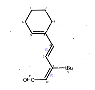 CC(C)(C)C(/C=C/C1=CCCCC1)=C/C=O